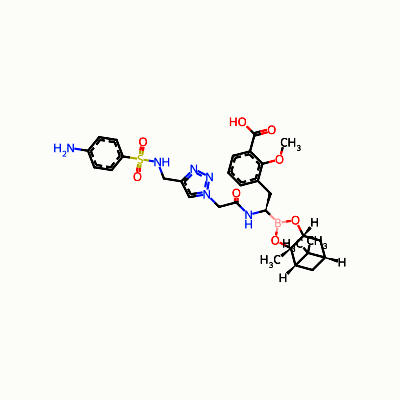 COc1c(C[C@H](NC(=O)Cn2cc(CNS(=O)(=O)c3ccc(N)cc3)nn2)B2O[C@@H]3C[C@@H]4C[C@@H](C4(C)C)[C@]3(C)O2)cccc1C(=O)O